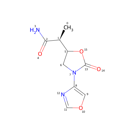 C[C@H](C(N)=O)C1CN(c2cocn2)C(=O)O1